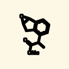 COC(=O)C(C)c1cccc2c1CC1OC21